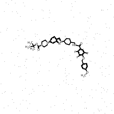 COc1ccc(COc2c(F)cc(C(=O)NCC3CCC(n4cc5ccc(N6CCN(C(=O)OC(C)(C)C)CC6)cc5n4)CC3)c(F)c2F)cc1